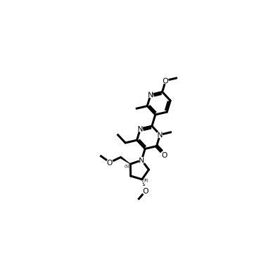 CCc1nc(-c2ccc(OC)nc2C)n(C)c(=O)c1N1C[C@H](OC)C[C@H]1COC